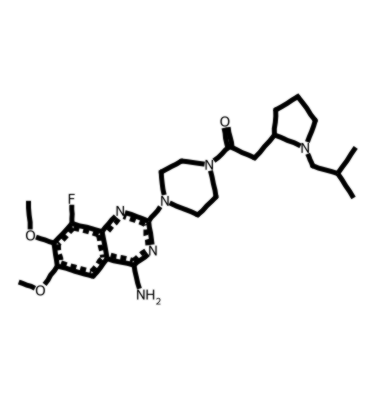 COc1cc2c(N)nc(N3CCN(C(=O)CC4CCCN4CC(C)C)CC3)nc2c(F)c1OC